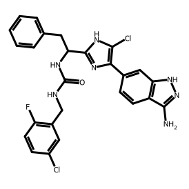 Nc1n[nH]c2cc(-c3nc(C(Cc4ccccc4)NC(=O)NCc4cc(Cl)ccc4F)[nH]c3Cl)ccc12